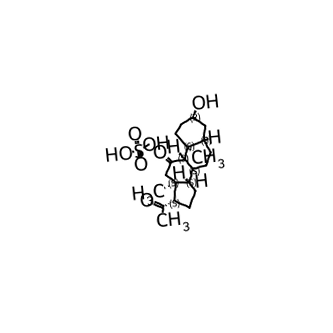 CC(=O)[C@H]1CC[C@H]2[C@@H]3CC[C@H]4C[C@H](O)CC[C@]4(C)[C@H]3C(=O)C[C@]12C.O=S(=O)(O)O